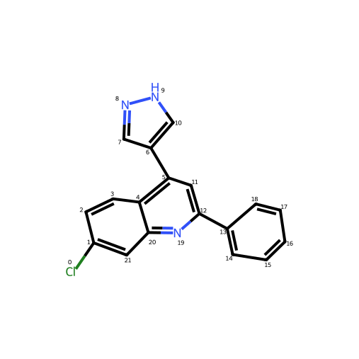 Clc1ccc2c(-c3cn[nH]c3)cc(-c3ccccc3)nc2c1